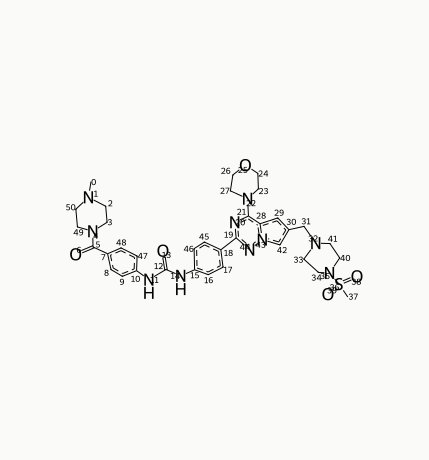 CN1CCN(C(=O)c2ccc(NC(=O)Nc3ccc(-c4nc(N5CCOCC5)c5cc(CN6CCN(S(C)(=O)=O)CC6)cn5n4)cc3)cc2)CC1